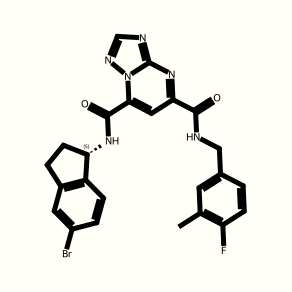 Cc1cc(CNC(=O)c2cc(C(=O)N[C@H]3CCc4cc(Br)ccc43)n3ncnc3n2)ccc1F